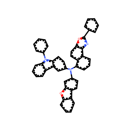 c1ccc(-c2nc3c(ccc4c(N(c5ccc6c(c5)oc5ccccc56)c5ccc6c(c5)c5ccccc5n6-c5ccccc5)cccc43)o2)cc1